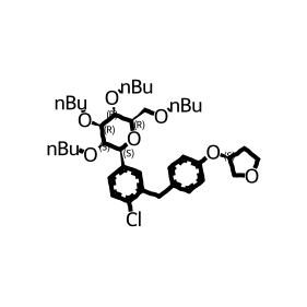 CCCCOC[C@H]1O[C@@H](c2ccc(Cl)c(Cc3ccc(O[C@H]4CCOC4)cc3)c2)[C@H](OCCCC)[C@@H](OCCCC)[C@@H]1OCCCC